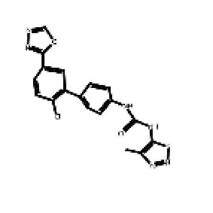 Cc1nnsc1NC(=O)Nc1ccc(-c2cc(-c3nnco3)ccc2Cl)cc1